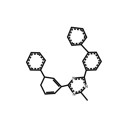 Cc1nc(C2=CC(c3ccccc3)CC=C2)nc(-c2cccc(-c3ccccc3)c2)n1